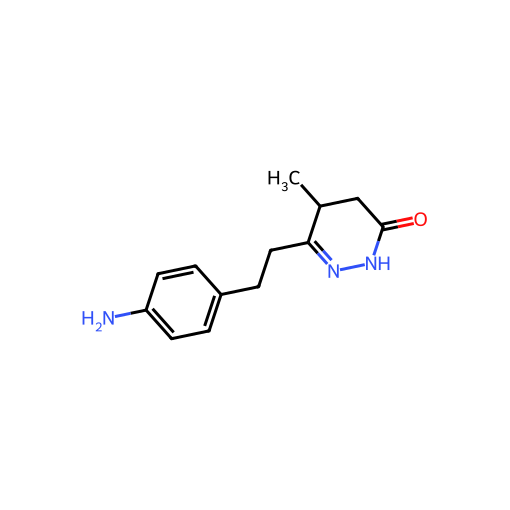 CC1CC(=O)NN=C1CCc1ccc(N)cc1